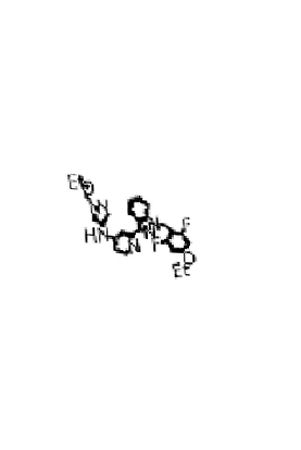 CCOCn1cc(Nc2ccnc(-c3nn(Cc4c(F)cc(OCC)cc4F)c4ccccc34)c2)cn1